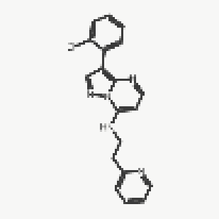 Clc1ccccc1-c1cnn2c(NCCc3ccccn3)ccnc12